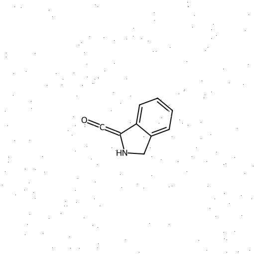 O=C=C1NCc2ccccc21